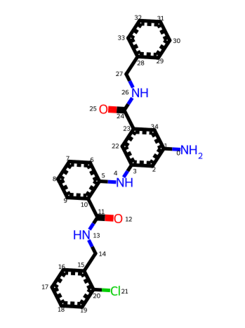 Nc1cc(Nc2cc[c]cc2C(=O)NCc2ccccc2Cl)cc(C(=O)NCc2ccccc2)c1